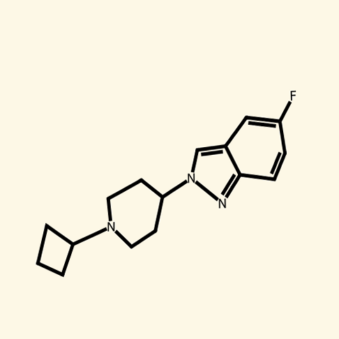 Fc1ccc2nn(C3CCN(C4CCC4)CC3)cc2c1